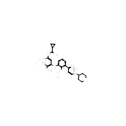 COc1c(NC(/C=C(\N)NC(=O)C2CC2)=C(\C)N)cccc1C(=N)/C=C\NC1CCOCC1